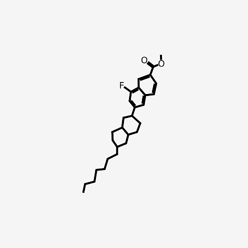 CCCCCCCC1CCC2CC(c3cc(F)c4cc(C(=O)OC)ccc4c3)CCC2C1